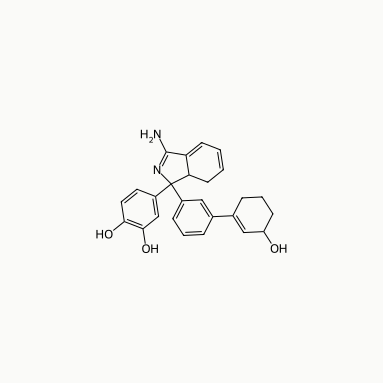 NC1=NC(c2cccc(C3=CC(O)CCC3)c2)(c2ccc(O)c(O)c2)C2CC=CC=C12